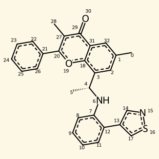 Cc1cc([C@@H](C)Nc2ccccc2-c2cnsc2)c2oc(-c3ccccc3)c(C)c(=O)c2c1